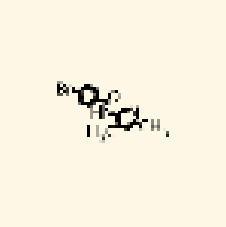 Cc1cc(C)c(NC(=O)c2ccc(Br)cc2)cn1